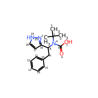 CC(C)(C)N(C(=O)O)C(Cc1ccccc1)c1cc[nH]n1